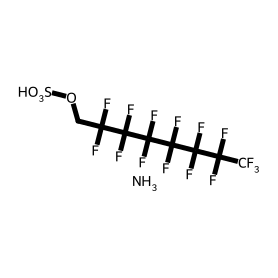 N.O=S(=O)(O)OCC(F)(F)C(F)(F)C(F)(F)C(F)(F)C(F)(F)C(F)(F)C(F)(F)F